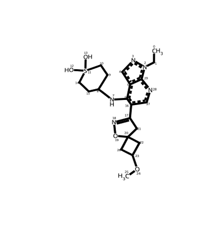 CCn1ncc2c(NC3CCS(O)(O)CC3)c(C3=NOC4(C3)CC(OC)C4)cnc21